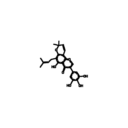 CC(C)=CCc1c2c(c3occ(-c4cc(O)c(O)c(O)c4)c(=O)c3c1O)C=CC(C)(C)O2